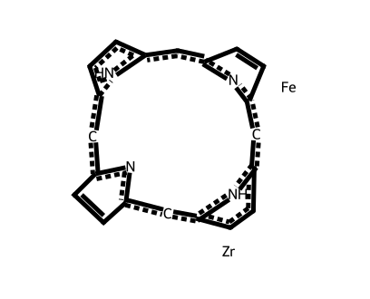 C1=Cc2cc3ccc(cc4nc(cc5ccc(cc1n2)[nH]5)C=C4)[nH]3.[Fe].[Zr]